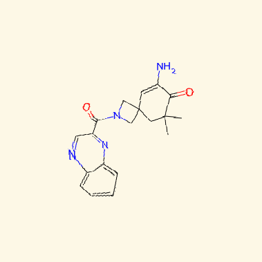 CC1(C)CC2(C=C(N)C1=O)CN(C(=O)c1cnc3ccccc3n1)C2